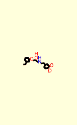 CCc1cccc(OCC(O)CNCCc2ccc(OC)c(OC)c2)c1